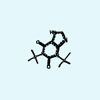 C[Si](C)(C)n1c(=O)c2[nH]cnc2n([Si](C)(C)C)c1=O